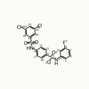 O=S(=O)(Nc1cccc(F)c1)c1ccc(NS(=O)(=O)c2cc(Cl)cc(Cl)c2)cc1